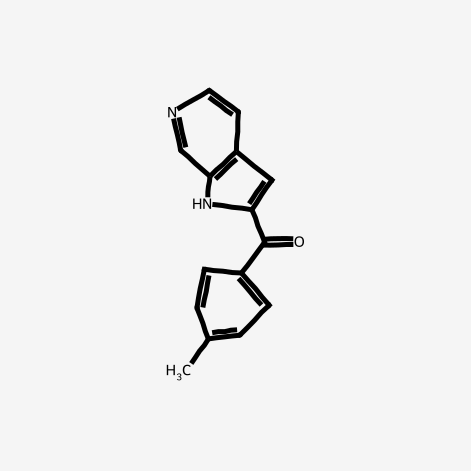 Cc1ccc(C(=O)c2cc3ccncc3[nH]2)cc1